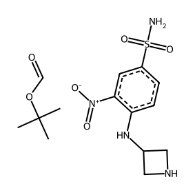 CC(C)(C)OC=O.NS(=O)(=O)c1ccc(NC2CNC2)c([N+](=O)[O-])c1